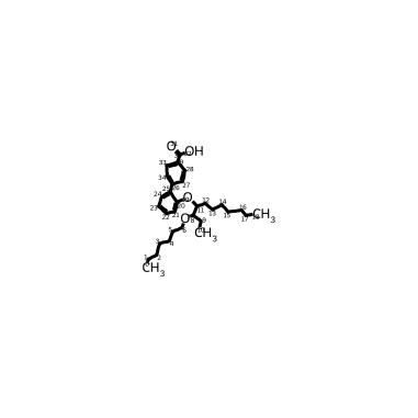 CCCCCCCOC(CC)C(CCCCCCC)Oc1ccccc1-c1ccc(C(=O)O)cc1